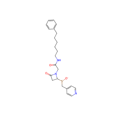 O=C(CN1C(=O)CC1[S+]([O-])Cc1ccncc1)NCCCCCCc1ccccc1